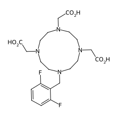 O=C(O)CN1CCN(CC(=O)O)CCN(Cc2c(F)cccc2F)CCN(CC(=O)O)CC1